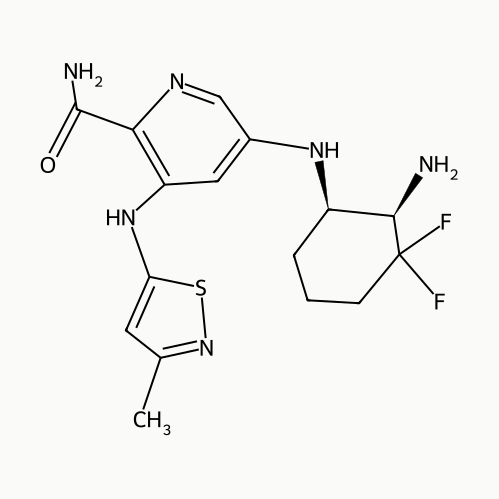 Cc1cc(Nc2cc(N[C@@H]3CCCC(F)(F)[C@@H]3N)cnc2C(N)=O)sn1